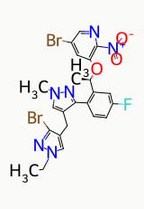 CCn1cc(Cc2cn(C)nc2-c2ccc(F)cc2[C@@H](C)Oc2cc(Br)cnc2[N+](=O)[O-])c(Br)n1